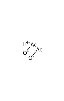 CC(=O)[O-].CC(=O)[O-].[Ti+4]